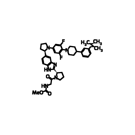 COC(=O)NCC(=O)N1CCC[C@H]1c1nc2cc([C@H]3CCCN3c3cc(F)c(N4CCC(c5cccc(S(C)(C)C)c5)CC4)c(F)c3)ccc2[nH]1